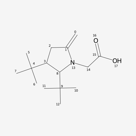 C=C1CC(C(C)(C)C)C(C(C)(C)C)N1CC(=O)O